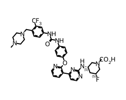 CN1CCN(Cc2ccc(NC(=O)Nc3ccc(Oc4ncccc4-c4ccnc(N[C@H]5C[C@H](F)CN(C(=O)O)C5)n4)cc3)cc2C(F)(F)F)CC1